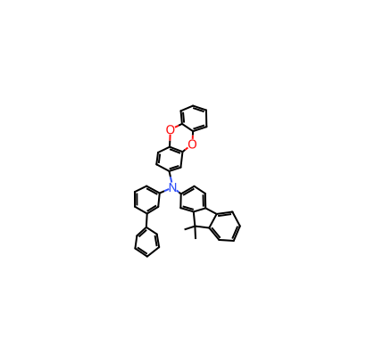 CC1(C)c2ccccc2-c2ccc(N(c3cccc(-c4ccccc4)c3)c3ccc4c(c3)Oc3ccccc3O4)cc21